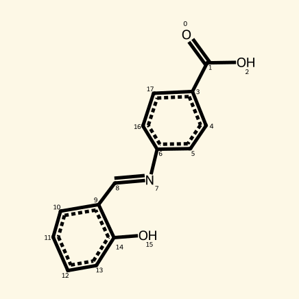 O=C(O)c1ccc(N=Cc2ccccc2O)cc1